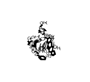 CC1(C)S[C@@H]2[C@H](NC(=O)COc3ccccc3)C(=O)N2[C@H]1C(=O)O.CN(C)[C@@H]1C(O)=C(C(=O)NCN2CCN(CCO)CC2)C(=O)[C@@]2(O)C(O)=C3C(=O)c4c(O)cccc4[C@@](C)(O)[C@H]3C[C@@H]12